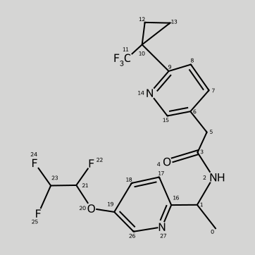 CC(NC(=O)Cc1ccc(C2(C(F)(F)F)CC2)nc1)c1ccc(OC(F)C(F)F)cn1